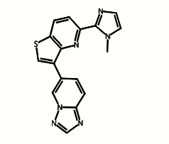 Cn1ccnc1-c1ccc2scc(-c3ccc4ncnn4c3)c2n1